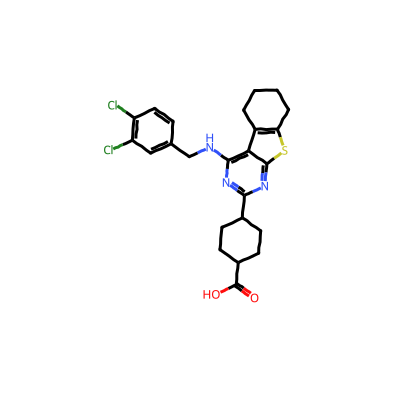 O=C(O)C1CCC(c2nc(NCc3ccc(Cl)c(Cl)c3)c3c4c(sc3n2)CCCC4)CC1